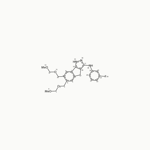 COCOCc1cc2c(cc1COCOC)-c1[nH]nc(Nc3cccc(F)c3)c1C2